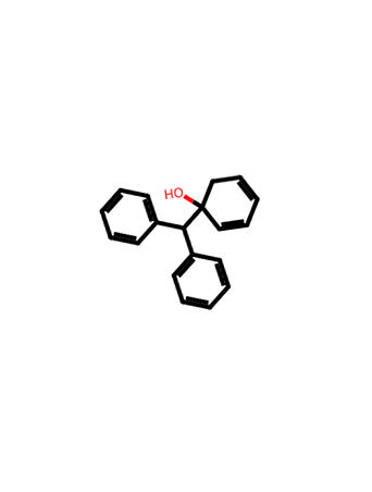 OC1(C(c2ccccc2)c2ccccc2)C=CC=CC1